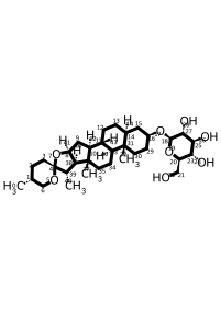 C[C@@H]1CC[C@@]2(OC1)O[C@H]1C[C@H]3[C@@H]4CC[C@H]5C[C@@H](O[C@@H]6O[C@H](CO)[C@@H](O)[C@H](O)[C@H]6O)CC[C@]5(C)[C@H]4CC[C@]3(C)[C@H]1[C@@H]2C